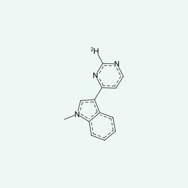 [2H]c1nccc(-c2cn(C)c3ccccc23)n1